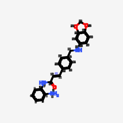 Nc1ccccc1NC(=O)/C=C/c1ccc(CNc2ccc3c(c2)OCO3)cc1